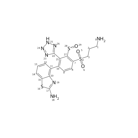 NCCCS(=O)(=O)c1ccc(-c2cccc3sc(N)nc23)c(-c2nn[nH]n2)c1[S+]=O